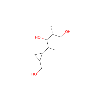 CC(C1C[C]1CO)C(O)[C@H](C)CO